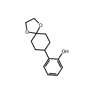 Oc1ccccc1C1CCC2(CC1)OCCO2